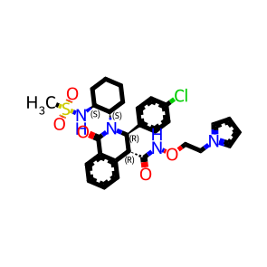 CS(=O)(=O)N[C@H]1CCCC[C@@H]1N1C(=O)c2ccccc2[C@@H](C(=O)NOCCn2cccc2)[C@@H]1c1ccc(Cl)cc1